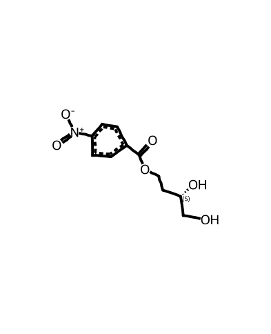 O=C(OCC[C@H](O)CO)c1ccc([N+](=O)[O-])cc1